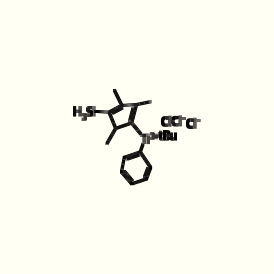 CC1=C([SiH3])C(C)[C]([Ti+3]([c]2ccccc2)[C](C)(C)C)=C1C.[Cl-].[Cl-].[Cl-]